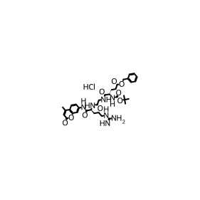 Cc1cc(=O)oc2cc(NC(=O)[C@H](CCCNC(=N)N)NC(=O)CNC(=O)[C@H](CCC(=O)OCc3ccccc3)NC(=O)OC(C)(C)C)ccc12.Cl